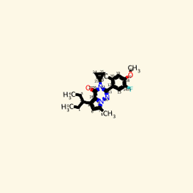 CCC(CC)c1cc(C)n2nc(-c3cc(F)c(OC)cc3C)n(C3CC3)c(=O)c12